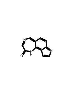 O=c1cncc2ccc3nccc3c2[nH]1